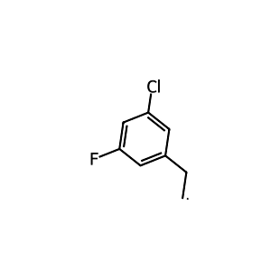 [CH2]Cc1cc(F)cc(Cl)c1